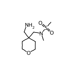 CN(CC1(CN)CCOCC1)S(C)(=O)=O